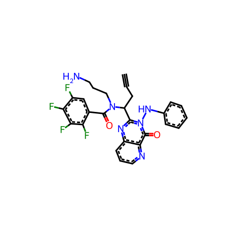 C#CCC(c1nc2cccnc2c(=O)n1Nc1ccccc1)N(CCCN)C(=O)c1cc(F)c(F)c(F)c1F